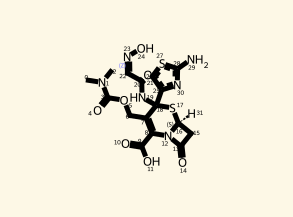 CN(C)C(=O)OCC1=C(C(=O)O)N2C(=O)C[C@@H]2SC1(NC(=O)/C=N\O)c1csc(N)n1